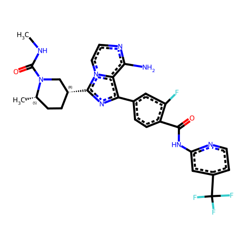 CNC(=O)N1C[C@H](c2nc(-c3ccc(C(=O)Nc4cc(C(F)(F)F)ccn4)c(F)c3)c3c(N)nccn23)CC[C@@H]1C